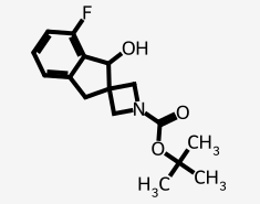 CC(C)(C)OC(=O)N1CC2(Cc3cccc(F)c3C2O)C1